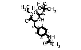 CCOC(=O)[C@H](Cc1ccc(NC(C)=O)cc1)NC(=O)OC(C)(C)C